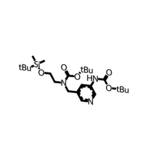 CC(C)(C)OC(=O)Nc1cncc(CN(CCO[Si](C)(C)C(C)(C)C)C(=O)OC(C)(C)C)c1